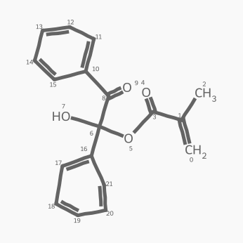 C=C(C)C(=O)OC(O)(C(=O)c1ccccc1)c1ccccc1